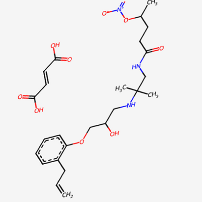 C=CCc1ccccc1OCC(O)CNC(C)(C)CNC(=O)CCC(C)O[N+](=O)[O-].O=C(O)C=CC(=O)O